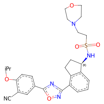 CC(C)Oc1ccc(-c2nc(-c3cccc4c3CC[C@H]4NS(=O)(=O)CCN3CCOCC3)no2)cc1C#N